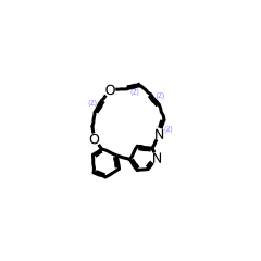 C1=C\C=N/c2cc(ccn2)-c2ccccc2OC/C=C\O\C=C/1